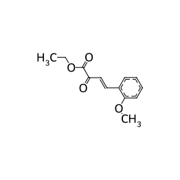 CCOC(=O)C(=O)C=Cc1ccccc1OC